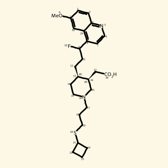 COc1ccc2nccc(C(F)CC[C@@H]3CCN(CCCSC4CCC4)C[C@@H]3CC(=O)O)c2c1